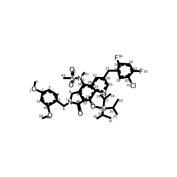 COc1ccc(CN2Cc3c(c(O[Si](C(C)C)(C(C)C)C(C)C)c4ncc(Cc5cc(Cl)c(F)cc5F)cc4c3N(C)S(C)(=O)=O)C2=O)c(OC)c1